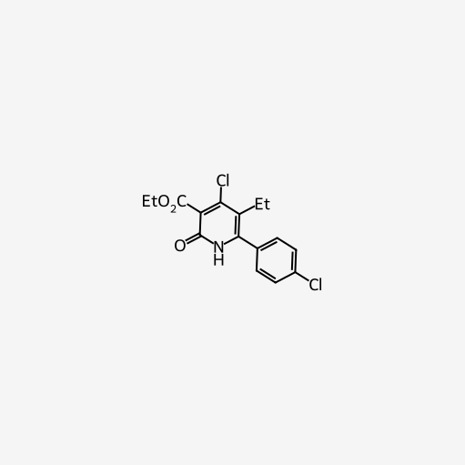 CCOC(=O)c1c(Cl)c(CC)c(-c2ccc(Cl)cc2)[nH]c1=O